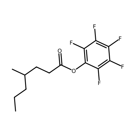 CCCC(C)CCC(=O)Oc1c(F)c(F)c(F)c(F)c1F